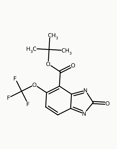 CC(C)(C)OC(=O)c1c(OC(F)(F)F)ccc2c1=NC(=O)N=2